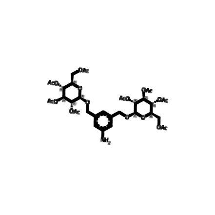 CC(=O)OC[C@H]1O[C@@H](OCc2cc(N)cc(CO[C@@H]3O[C@H](COC(C)=O)[C@@H](OC(C)=O)[C@H](OC(C)=O)[C@H]3OC(C)=O)c2)[C@H](OC(C)=O)[C@@H](OC(C)=O)[C@@H]1OC(C)=O